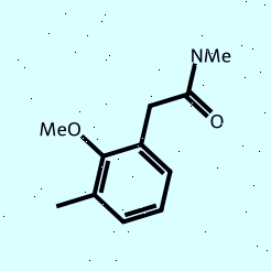 CNC(=O)Cc1cccc(C)c1OC